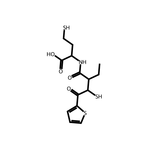 CCC(C(=O)NC(CCS)C(=O)O)C(S)C(=O)c1cccs1